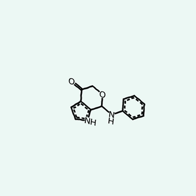 O=C1COC(Nc2ccccc2)c2[nH]ccc21